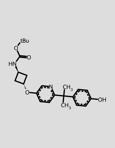 CC(C)(C)OC(=O)N[C@H]1C[C@H](Oc2ccc(C(C)(C)c3ccc(O)cc3)nc2)C1